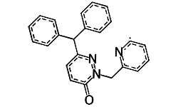 O=c1ccc(C(c2ccccc2)c2ccccc2)nn1Cc1ccc[c]n1